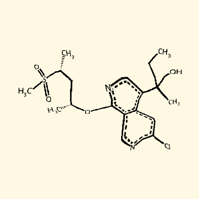 CCC(C)(O)c1cnc(O[C@H](C)C[C@@H](C)S(C)(=O)=O)c2cnc(Cl)cc12